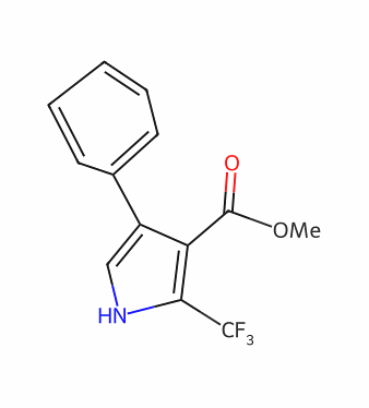 COC(=O)c1c(-c2ccccc2)c[nH]c1C(F)(F)F